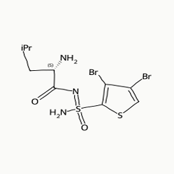 CC(C)C[C@H](N)C(=O)N=S(N)(=O)c1scc(Br)c1Br